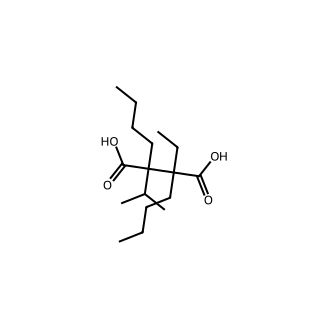 CCCCC(CC)(C(=O)O)C(CCCC)(C(=O)O)C(C)C